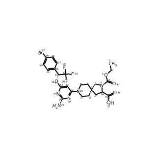 CCOC(=O)N1CC2(CCN(c3cc(O[C@H](c4ccc(Br)cc4)C(F)(F)F)nc(N)n3)CC2)CC1C(=O)O